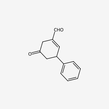 O=CC1=CC(c2ccccc2)CC(=O)C1